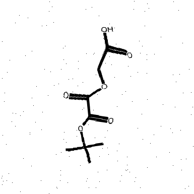 CC(C)(C)OC(=O)C(=O)OCC(=O)O